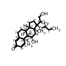 CCC(=O)O[C@]1(C(=O)CO)CC[C@H]2[C@@H]3CCC4=CC(=O)C=C[C@]4(C)[C@@]3(F)[C@@H](O)C[C@@]21C